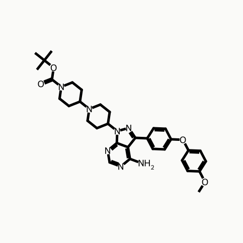 COc1ccc(Oc2ccc(-c3nn(C4CCN(C5CCN(C(=O)OC(C)(C)C)CC5)CC4)c4ncnc(N)c34)cc2)cc1